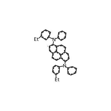 CCc1cccc(N(c2ccccc2)c2[c]cc3ccc4c(N(c5ccccc5)c5cccc(CC)c5)ccc5ccc2c3c54)c1